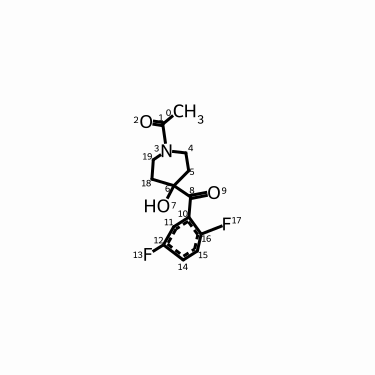 CC(=O)N1CCC(O)(C(=O)c2cc(F)ccc2F)CC1